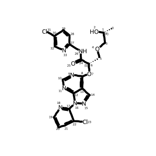 C[C@@H](O)COC[C@H](Oc1ncnc2c1cnn2-c1ncccc1Cl)C(=O)Nc1ccc(Cl)cn1